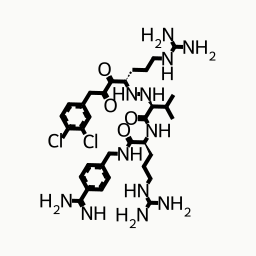 CC(C)[C@H](NN[C@@H](CCCNC(N)N)C(=O)C(=O)Cc1ccc(Cl)c(Cl)c1)C(=O)N[C@@H](CCCNC(N)N)C(=O)NCc1ccc(C(=N)N)cc1